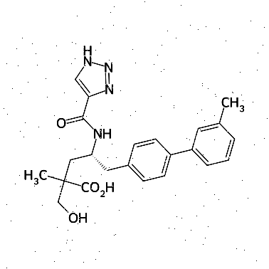 Cc1cccc(-c2ccc(C[C@H](CC(C)(CO)C(=O)O)NC(=O)c3c[nH]nn3)cc2)c1